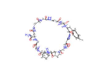 Cc1ccc(CC2NC(=O)CNC(=O)CNC(=O)CNC(=O)CNC(=O)CC(C(N)=O)NC(=O)CNC(=O)C3(CCCC3)NC(=O)C3CCCN3C(=O)CNC(=O)CNC2=O)cc1